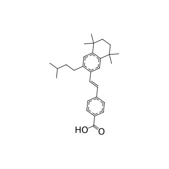 CC(C)CCc1cc2c(cc1C=Cc1ccc(C(=O)O)cc1)C(C)(C)CCC2(C)C